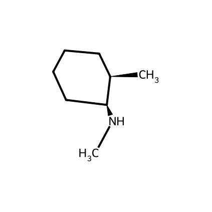 CN[C@H]1CCCC[C@H]1C